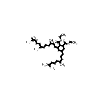 CCOC(=O)C1CC(CCCC(C)CCCC(C)C)CC(CCC(C)CCCC(C)CCCC(C)C)C1C(=O)OCC